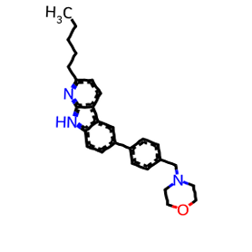 CCCCCc1ccc2c(n1)[nH]c1ccc(-c3ccc(CN4CCOCC4)cc3)cc12